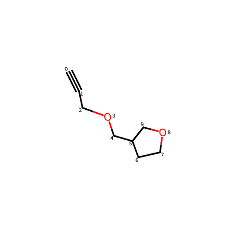 C#CCOCC1CCOC1